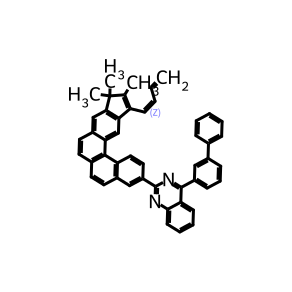 C=C/C=C\C1=C(C)C(C)(C)c2cc3ccc4ccc5cc(-c6nc(-c7cccc(-c8ccccc8)c7)c7ccccc7n6)ccc5c4c3cc21